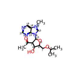 CC(=O)C1C(O)C(COC(C)C)OC1n1c[n+](C)c2cncnc21